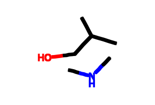 CC(C)CO.CNC